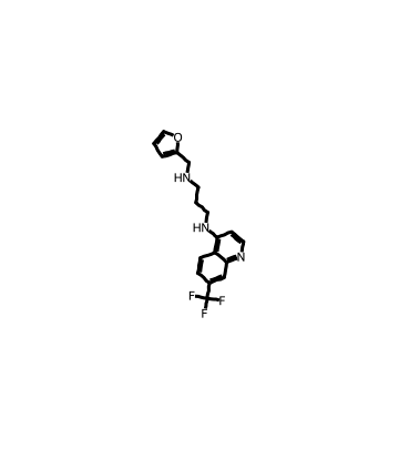 FC(F)(F)c1ccc2c(NCCCNCc3ccco3)ccnc2c1